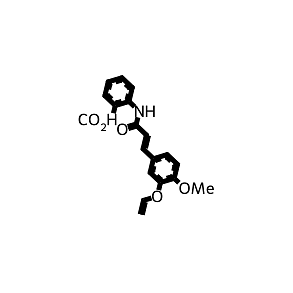 C=COc1cc(/C=C/C(=O)Nc2ccccc2C(=O)O)ccc1OC